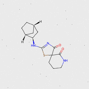 O=C1N=C(N[C@@H]2C[C@H]3CC[C@@H]2C3)SC12CCCNC2=O